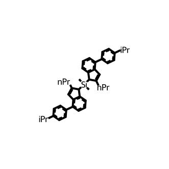 CCCC1=Cc2c(-c3ccc(C(C)C)cc3)cccc2C1[Si](C)(C)C1C(CCC)=Cc2c(-c3ccc(C(C)C)cc3)cccc21